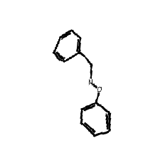 c1ccc(C[N]Oc2ccccc2)cc1